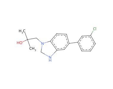 CC(C)(O)CN1CNc2cc(-c3cccc(Cl)c3)ccc21